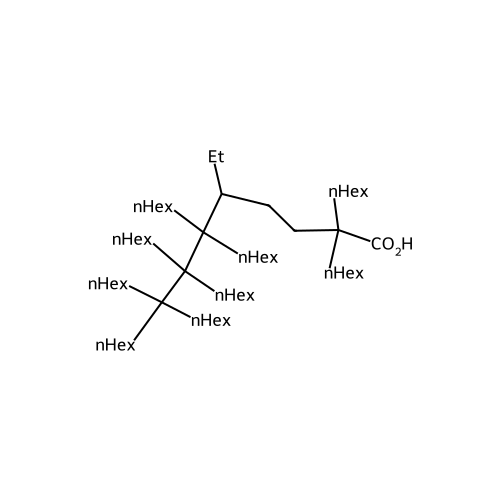 CCCCCCC(CCCCCC)(CCC(CC)C(CCCCCC)(CCCCCC)C(CCCCCC)(CCCCCC)C(CCCCCC)(CCCCCC)CCCCCC)C(=O)O